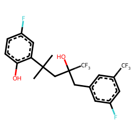 CC(C)(CC(O)(Cc1cc(F)cc(C(F)(F)F)c1)C(F)(F)F)c1cc(F)ccc1O